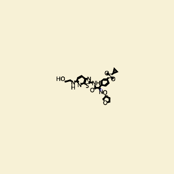 O=C(Nc1nc2ccc(NCCO)nc2s1)/C(=N/O[C@@H]1CCOC1)c1ccc(S(=O)(=O)C2CC2)cc1